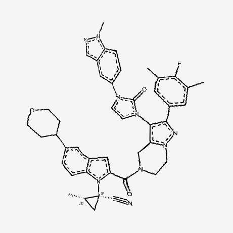 Cc1cc(-c2nn3c(c2-n2ccn(-c4ccc5c(cnn5C)c4)c2=O)CN(C(=O)c2cc4cc(C5CCOCC5)ccc4n2[C@@]2(C#N)C[C@@H]2C)CC3)cc(C)c1F